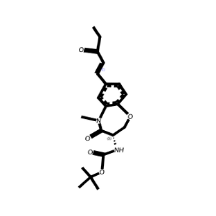 CCC(=O)/C=C/c1ccc2c(c1)N(C)C(=O)[C@@H](NC(=O)OC(C)(C)C)CO2